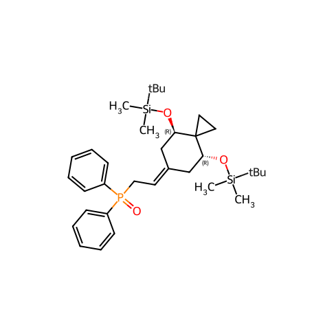 CC(C)(C)[Si](C)(C)O[C@@H]1CC(=CCP(=O)(c2ccccc2)c2ccccc2)C[C@@H](O[Si](C)(C)C(C)(C)C)C12CC2